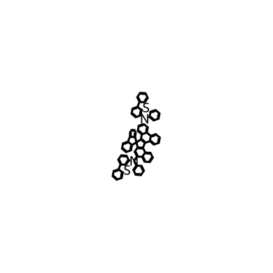 c1ccc(N(c2ccc3c4c(c5ccccc5c3c2)-c2c(cc(N(c3ccccc3)c3cccc5c3sc3ccccc35)c3ccccc23)C42c3ccccc3-c3ccccc32)c2cccc3c2sc2ccccc23)cc1